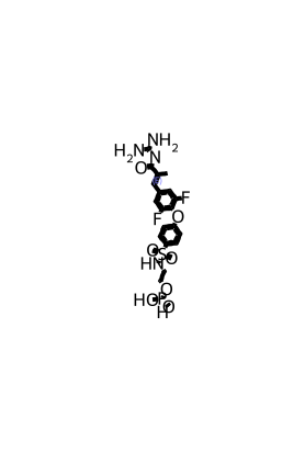 C/C(=C\c1cc(F)c(Oc2ccc(S(=O)(=O)NCCO[PH](=O)O)cc2)c(F)c1)C(=O)N=C(N)N